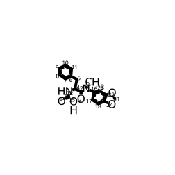 CN(C(=O)C(Cc1ccccc1)NC(=O)O)c1ccc2c(c1)OCO2